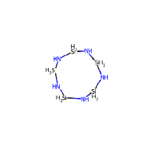 N1[SiH2]N[SiH2]N[SiH2]N[SiH2]N[SiH2]1